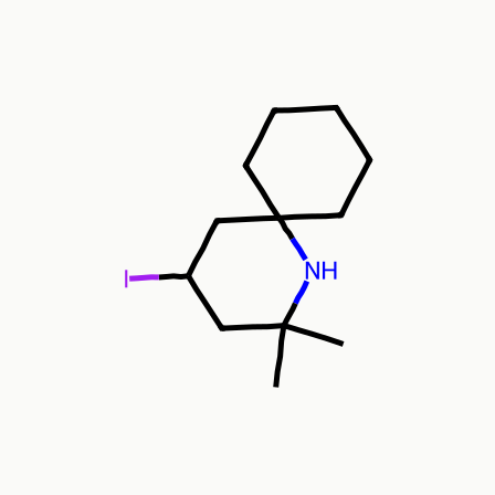 CC1(C)CC(I)CC2(CCCCC2)N1